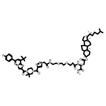 CC(C)CCC[C@@H](C)[C@H]1CCC2C3CCC4C[C@@H](OC(=O)C[C@H](NC(=O)CCOCCOCCNC(=O)Cn5cc(C(=O)N6CCN(C(=O)c7cn8nc(-c9ccc(F)cc9)cc(C(C)(C)C)c8n7)C(C)(C)C6)nn5)C(N)=O)CC[C@]4(C)C3CC[C@@]21C